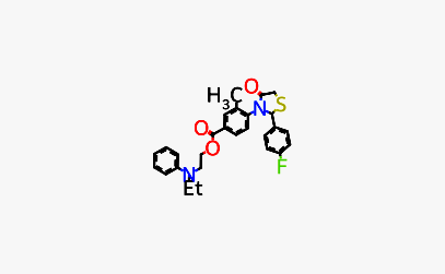 CCN(CCOC(=O)c1ccc(N2C(=O)CSC2c2ccc(F)cc2)c(C)c1)c1ccccc1